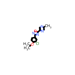 Cc1cnc(-c2nc(-c3ccc(OC(C)C)c(Cl)c3)no2)cn1